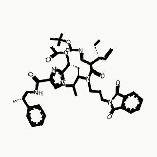 C=C[C@@H](CC)C(/C=N/C(=O)OC(C)(C)C)C(=O)N(CCCN1C(=O)c2ccccc2C1=O)[C@H](C[C@@H](OC(C)=O)c1nc(C(=O)NC[C@@H](C)c2ccccc2)cs1)C(C)C